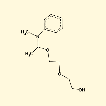 CC(OCCOCCO)N(C)c1ccccc1